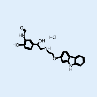 Cl.O=CNc1cc(C(O)CNCCOc2ccc3c(c2)[nH]c2ccccc23)ccc1O